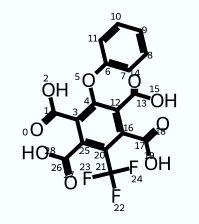 O=C(O)c1c(Oc2ccccc2)c(C(=O)O)c(C(=O)O)c(C(F)(F)F)c1C(=O)O